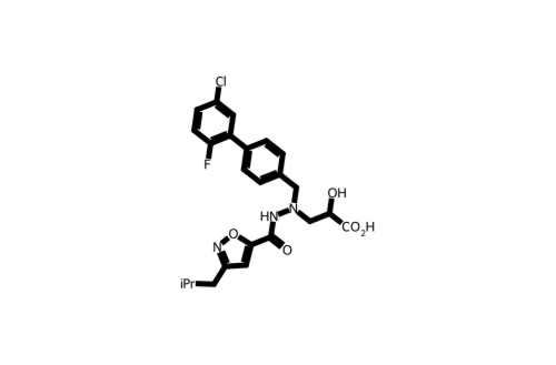 CC(C)Cc1cc(C(=O)NN(Cc2ccc(-c3cc(Cl)ccc3F)cc2)CC(O)C(=O)O)on1